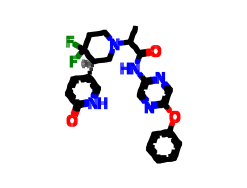 CC(C(=O)Nc1cnc(Oc2ccccc2)cn1)N1CCC(F)(F)[C@@H](c2ccc(=O)[nH]c2)C1